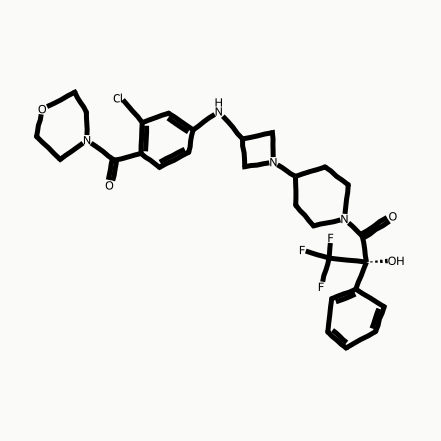 O=C(c1ccc(NC2CN(C3CCN(C(=O)[C@@](O)(c4ccccc4)C(F)(F)F)CC3)C2)cc1Cl)N1CCOCC1